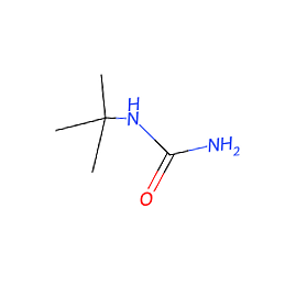 CC(C)(C)NC(N)=O